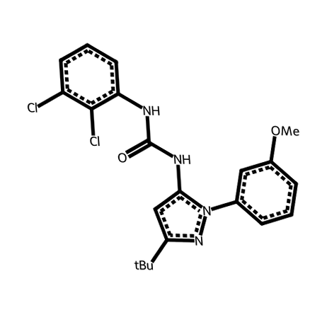 COc1cccc(-n2nc(C(C)(C)C)cc2NC(=O)Nc2cccc(Cl)c2Cl)c1